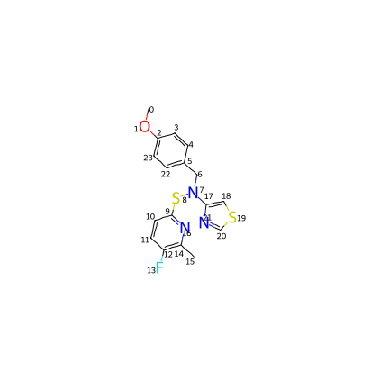 COc1ccc(CN(Sc2ccc(F)c(C)n2)c2cscn2)cc1